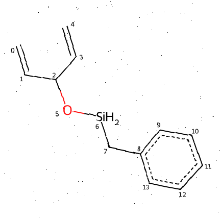 C=CC(C=C)O[SiH2]Cc1ccccc1